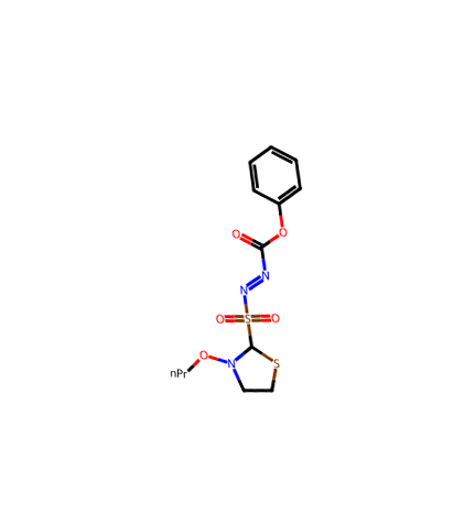 CCCON1CCSC1S(=O)(=O)N=NC(=O)Oc1ccccc1